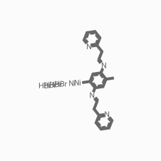 Br.Br.Br.Br.Cc1cc(N=CCc2ccccn2)c(C)cc1N=CCc1ccccn1.[Ni].[Ni]